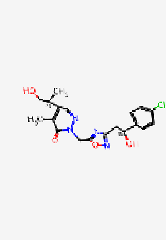 Cc1c([C@H](C)CO)cnn(Cc2nc(C[C@H](O)c3ccc(Cl)cc3)no2)c1=O